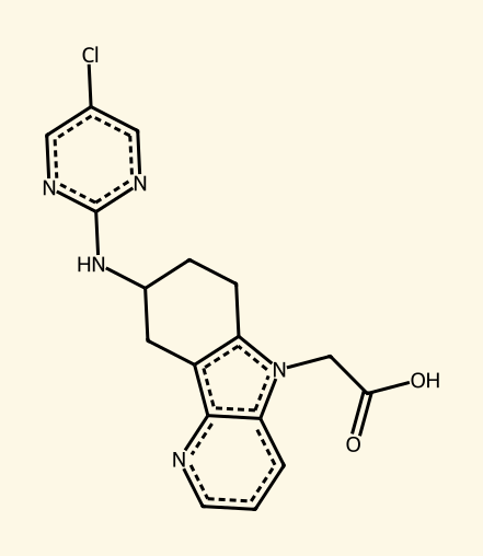 O=C(O)Cn1c2c(c3ncccc31)CC(Nc1ncc(Cl)cn1)CC2